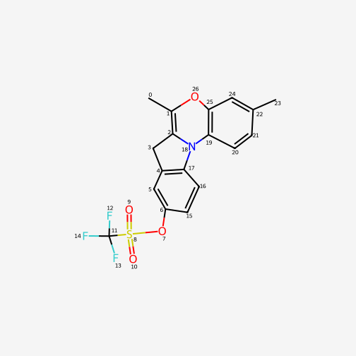 CC1=C2Cc3cc(OS(=O)(=O)C(F)(F)F)ccc3N2c2ccc(C)cc2O1